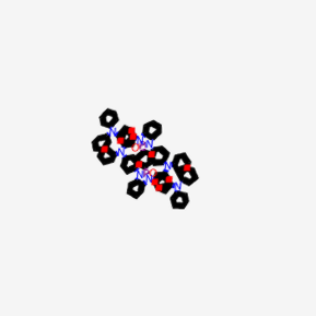 O=P1(c2ccc(P3(=O)N(c4ccc(N(c5ccccc5)c5ccccc5)cc4)c4ccccc4N3c3ccc(N(c4ccccc4)c4ccccc4)cc3)cc2)N(c2ccc(N(c3ccccc3)c3ccccc3)cc2)c2ccccc2N1c1ccc(N(c2ccccc2)c2ccccc2)cc1